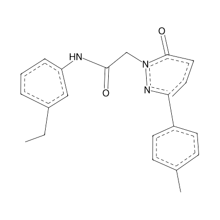 CCc1cccc(NC(=O)Cn2nc(-c3ccc(C)cc3)ccc2=O)c1